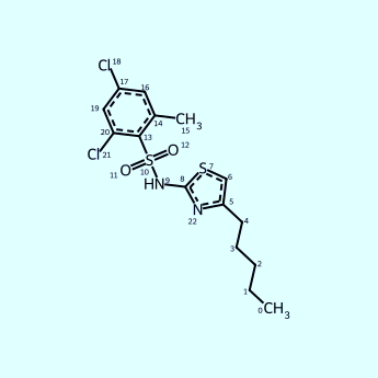 CCCCCc1csc(NS(=O)(=O)c2c(C)cc(Cl)cc2Cl)n1